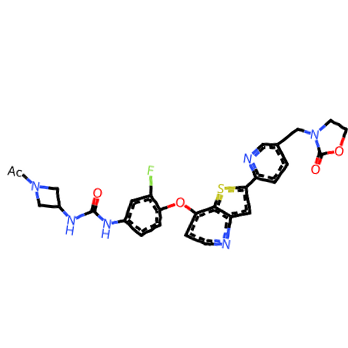 CC(=O)N1CC(NC(=O)Nc2ccc(Oc3ccnc4cc(-c5ccc(CN6CCOC6=O)cn5)sc34)c(F)c2)C1